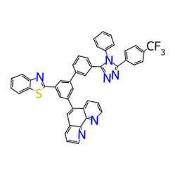 FC(F)(F)c1ccc(-c2nnc(-c3cccc(-c4cc(-c5nc6ccccc6s5)cc(-c5cc6cccnc6c6ncccc56)c4)c3)n2-c2ccccc2)cc1